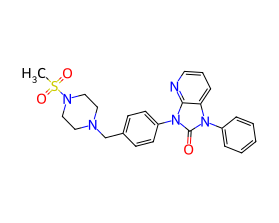 CS(=O)(=O)N1CCN(Cc2ccc(-n3c(=O)n(-c4ccccc4)c4cccnc43)cc2)CC1